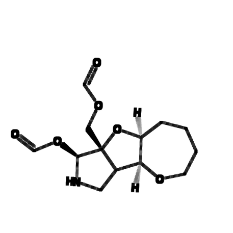 O=COC[C@@]12O[C@H]3CCCCO[C@H]3C1CN[C@H]2OC=O